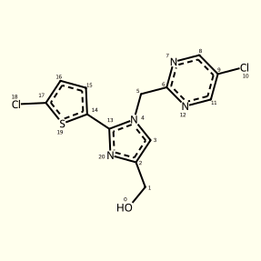 OCc1cn(Cc2ncc(Cl)cn2)c(-c2ccc(Cl)s2)n1